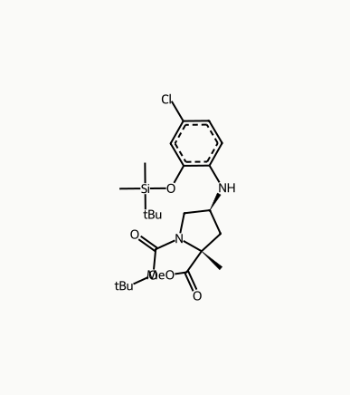 COC(=O)[C@@]1(C)C[C@H](Nc2ccc(Cl)cc2O[Si](C)(C)C(C)(C)C)CN1C(=O)OC(C)(C)C